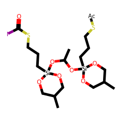 CC(=O)SCCC[Si]1(OC(C)O[Si]2(CCCSC(=O)I)OCC(C)CO2)OCC(C)CO1